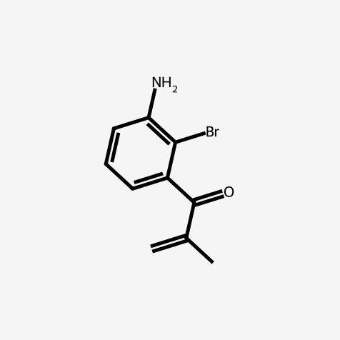 C=C(C)C(=O)c1cccc(N)c1Br